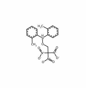 Cc1ccccc1[SiH](OCC([N+](=O)[O-])([N+](=O)[O-])[N+](=O)[O-])c1ccccc1C